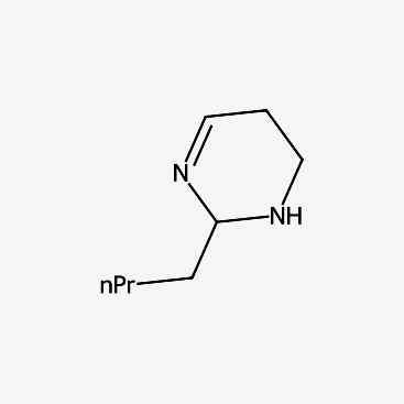 [CH2]CCCC1N=CCCN1